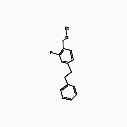 CCOCc1ccc(CCc2ccccc2)cc1F